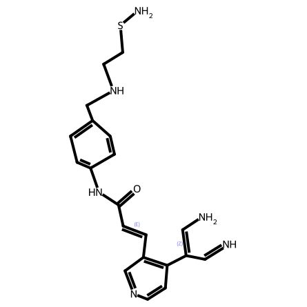 N=C/C(=C\N)c1ccncc1/C=C/C(=O)Nc1ccc(CNCCSN)cc1